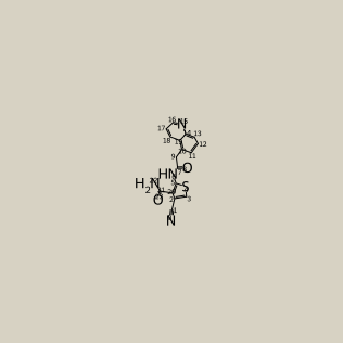 N#Cc1csc(NC(=O)Cc2cccc3ncccc23)c1C(N)=O